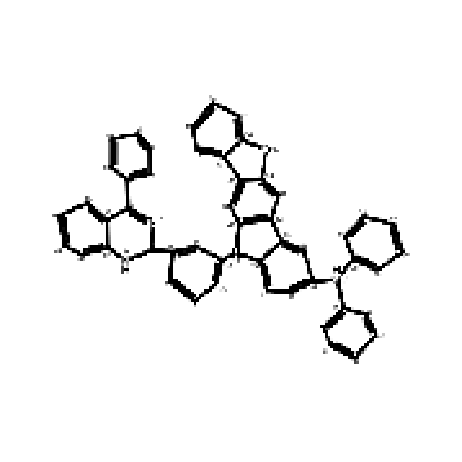 c1ccc(C2=NC(c3cccc(-n4c5ccc([SiH](c6ccccc6)c6ccccc6)cc5c5cc6oc7ccccc7c6cc54)c3)Nc3ccccc32)cc1